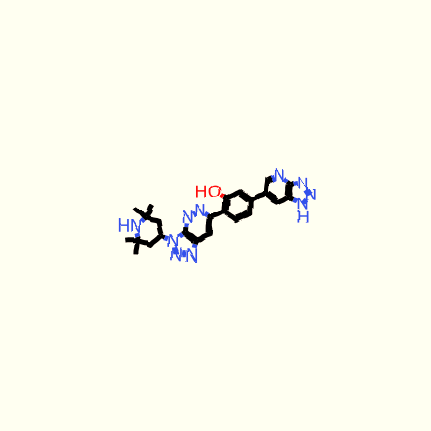 CC1(C)CC(n2nnc3cc(-c4ccc(-c5cnc6nn[nH]c6c5)cc4O)nnc32)CC(C)(C)N1